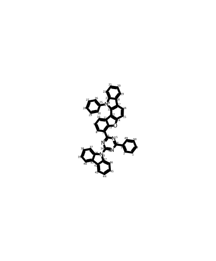 c1ccc(-c2nc(-c3cccc4c3oc3ccc5c6ccccc6n(-c6ccccc6)c5c34)nc(-n3c4ccccc4c4ccccc43)n2)cc1